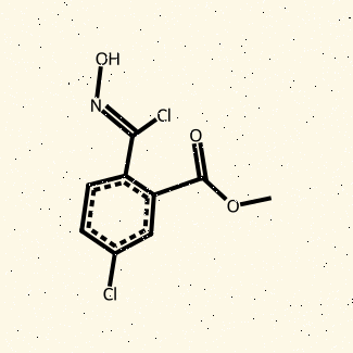 COC(=O)c1cc(Cl)ccc1C(Cl)=NO